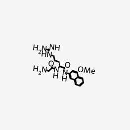 COc1cc(NC(=O)[C@H](CCCNC(=N)N)NC(=O)CN)cc2ccccc12